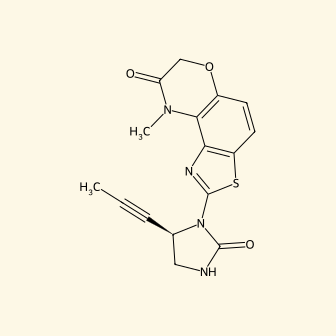 CC#C[C@@H]1CNC(=O)N1c1nc2c3c(ccc2s1)OCC(=O)N3C